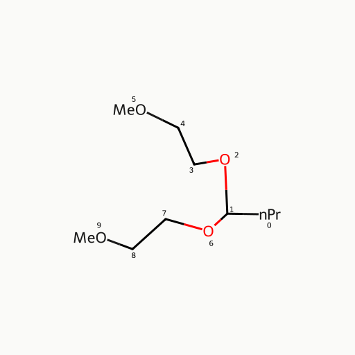 CCCC(OCCOC)OCCOC